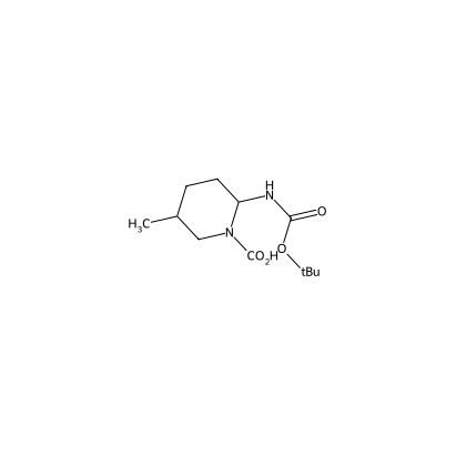 CC1CCC(NC(=O)OC(C)(C)C)N(C(=O)O)C1